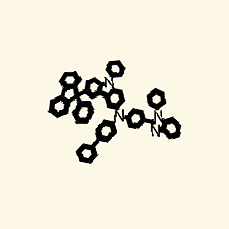 c1ccc(-c2ccc(N(c3ccc(-c4nc5ccccc5n4-c4ccccc4)cc3)c3ccc4c(c3)c3cc(C5(c6ccccc6)c6ccccc6-c6ccccc65)ccc3n4-c3ccccc3)cc2)cc1